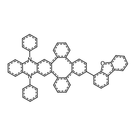 c1ccc(-n2c3ccccc3n(-c3ccccc3)c3cc4c5ccccc5c5cc(-c6cccc7c6oc6ccccc67)ccc5c5ccccc5c4cc32)cc1